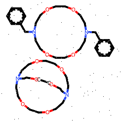 C1COCCN2CCOCCOCCN(CCO1)CCOCCOCC2.c1ccc(CN2CCOCCOCCN(Cc3ccccc3)CCOCCOCC2)cc1